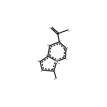 C=C(C)c1ccn2c(C)ccc2c1